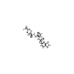 CN(C)C1CCN(C(=O)CCc2nccn2CC(=O)Oc2ccc3c(c2)CCC3)CC1